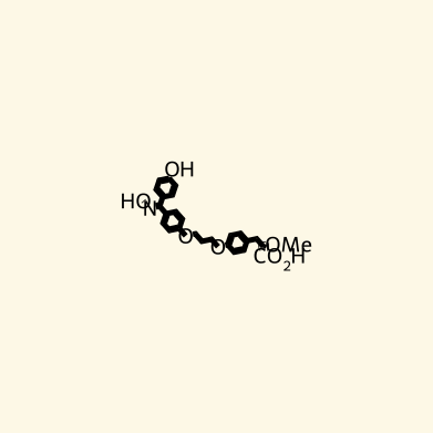 CO[C@@H](Cc1ccc(OCCCOc2ccc(C(=NO)c3ccc(O)cc3)cc2)cc1)C(=O)O